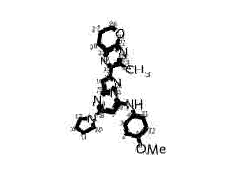 COC1CCC(Nc2cc(N3CCCC3)nc3cc(-c4nc5c(nc4C)OCCC5)nn23)CC1